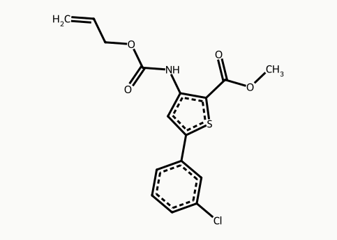 C=CCOC(=O)Nc1cc(-c2cccc(Cl)c2)sc1C(=O)OC